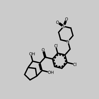 O=C(C1=C(O)C2CCC(C2)C1O)c1ccc(Cl)c(CN2CCS(=O)(=O)CC2)c1Cl